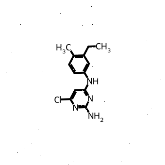 CCc1cc(Nc2cc(Cl)nc(N)n2)ccc1C